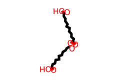 O=C(O)CCCCCCCCCCC(=O)OC(=O)CCCCCCCCCC(=O)O